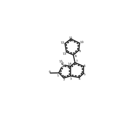 Cc1cc2cccc(-c3ccccc3)c2s1